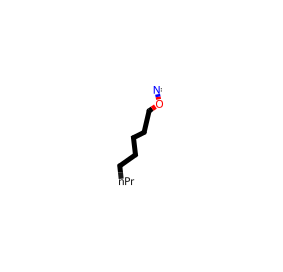 CCCCCCCCO[N]